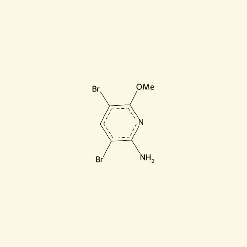 COc1nc(N)c(Br)cc1Br